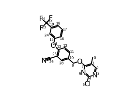 Cc1cnc(Cl)nc1OCc1ccc(Oc2cccc(C(F)(F)F)c2)c(C#N)c1